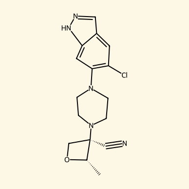 C[C@@H]1OC[C@@]1(C#N)N1CCN(c2cc3[nH]ncc3cc2Cl)CC1